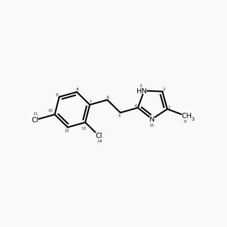 Cc1c[nH]c(CCc2ccc(Cl)cc2Cl)n1